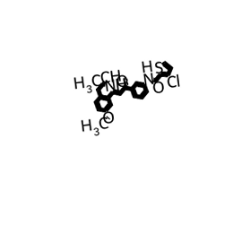 COc1ccc2c(c1)/C(=C/C(=O)c1cccc(NC(=O)c3sccc3Cl)c1)NC(C)(C)C2